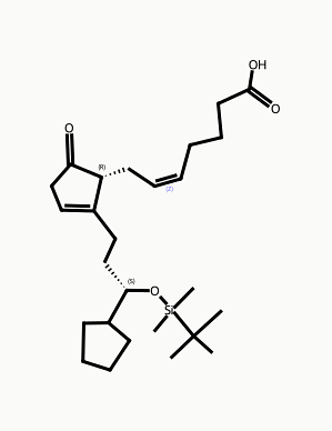 CC(C)(C)[Si](C)(C)O[C@@H](CCC1=CCC(=O)[C@@H]1C/C=C\CCCC(=O)O)C1CCCC1